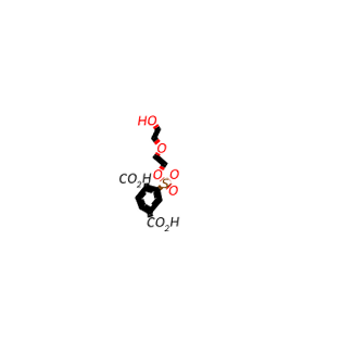 O=C(O)c1ccc(C(=O)O)c(S(=O)(=O)OCCOCCO)c1